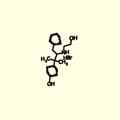 Br.CC(C)(c1ccc(O)cc1)C(Cc1ccccc1)NCCO